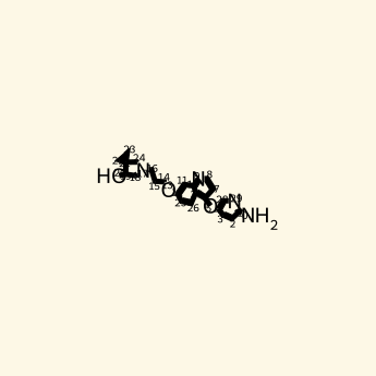 Nc1ccc(Oc2ccnc3cc(OCCCN4CC(O)C5(CC5)C4)ccc23)cn1